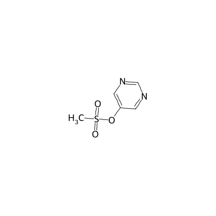 CS(=O)(=O)Oc1cncnc1